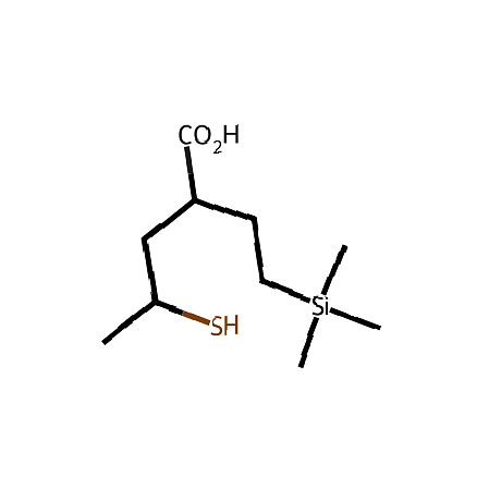 CC(S)CC(CC[Si](C)(C)C)C(=O)O